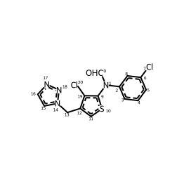 O=CN(c1cccc(Cl)c1)c1scc(Cn2ccnn2)c1Cl